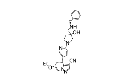 CCOc1cc(-c2ccc(N3CCC(O)(CNSc4ccccc4)CC3)nc2)c2c(C#N)cnn2c1